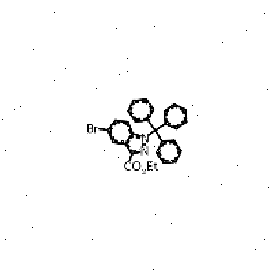 CCOC(=O)c1nn(C(c2ccccc2)(c2ccccc2)c2ccccc2)c2ccc(Br)cc12